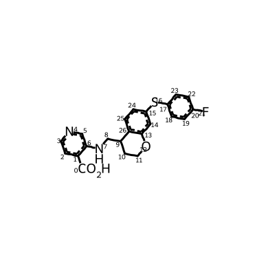 O=C(O)c1ccncc1NCC1CCOc2cc(Sc3ccc(F)cc3)ccc21